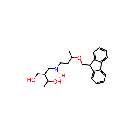 CC(CCN(O)CC(CO)C(C)O)OCC1c2ccccc2-c2ccccc21